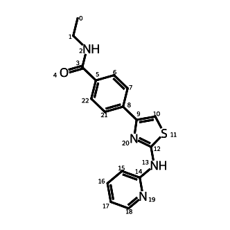 CCNC(=O)c1ccc(-c2csc(Nc3ccccn3)n2)cc1